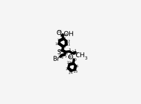 CC=C(Cc1cc(Br)sc1-c1ccc(C(=O)O)cc1)OCc1ccccc1